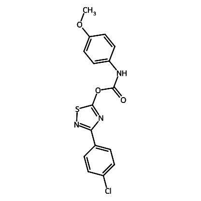 COc1ccc(NC(=O)Oc2nc(-c3ccc(Cl)cc3)ns2)cc1